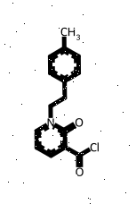 Cc1ccc(CCn2cccc(C(=O)Cl)c2=O)cc1